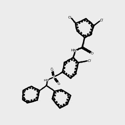 O=C(Nc1cc(S(=O)(=O)NC(c2ccccc2)c2ccccc2)ccc1Cl)c1cc(Cl)cc(Cl)c1